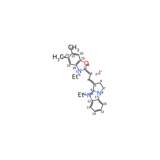 CCN1C(=CC=C2CCn3c2[n+](CC)c2ccccc23)Oc2cc(C)c(C)cc21.[I-]